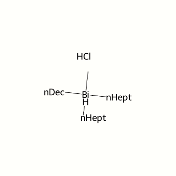 CCCCCCCCC[CH2][BiH]([CH3])([CH2]CCCCCC)[CH2]CCCCCC.Cl